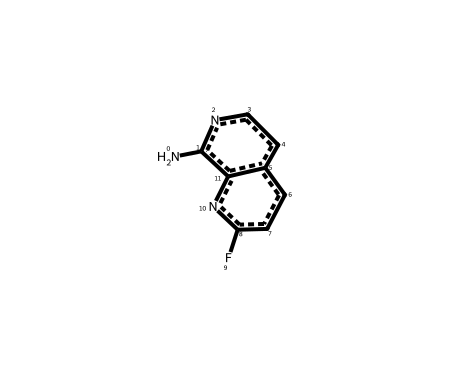 Nc1nccc2ccc(F)nc12